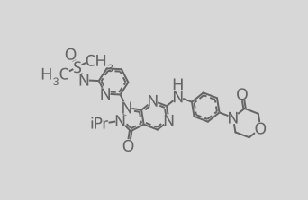 CC(C)n1c(=O)c2cnc(Nc3ccc(N4CCOCC4=O)cc3)nc2n1-c1cccc(N=S(C)(C)=O)n1